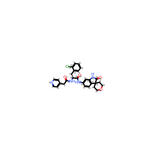 O=C(Cc1ccncc1)N[C@@H](Cc1ccccc1Cl)C(=O)Nc1ccc2c(c1)NC(=O)C21CCOCC1